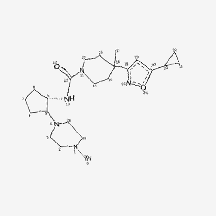 CC(C)N1CCN(C2CCC[C@@H]2NC(=O)N2CCC(C)(c3cc(C4CC4)on3)CC2)CC1